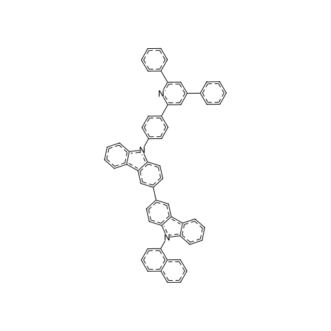 c1ccc(-c2cc(-c3ccccc3)nc(-c3ccc(-n4c5ccccc5c5cc(-c6ccc7c(c6)c6ccccc6n7-c6cccc7ccccc67)ccc54)cc3)c2)cc1